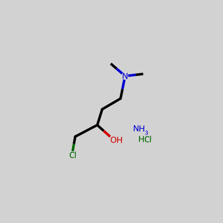 CN(C)CCC(O)CCl.Cl.N